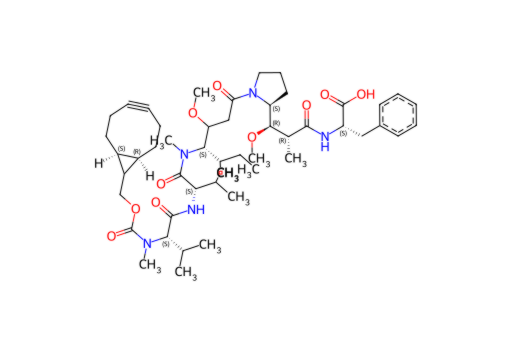 CCC(C)[C@@H](C(CC(=O)N1CCC[C@H]1[C@H](OC)[C@@H](C)C(=O)N[C@@H](Cc1ccccc1)C(=O)O)OC)N(C)C(=O)[C@@H](NC(=O)[C@H](C(C)C)N(C)C(=O)OCC1[C@H]2CCC#CCC[C@@H]12)C(C)C